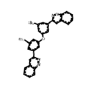 CC(C)(C)c1cc(Oc2cc(-c3cc4ccccc4nn3)cc(C(C)(C)C)c2)cc(-c2cc3ccccc3nn2)c1